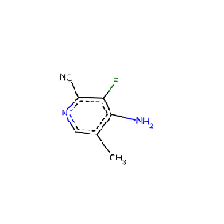 Cc1cnc(C#N)c(F)c1N